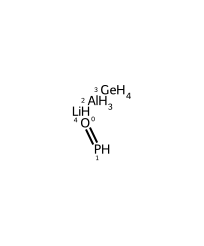 O=P.[AlH3].[GeH4].[LiH]